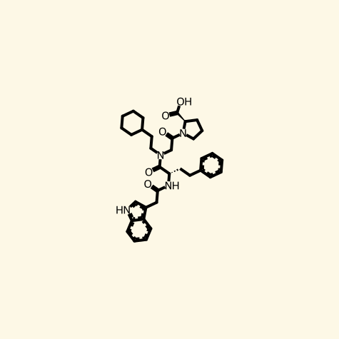 O=C(Cc1c[nH]c2ccccc12)N[C@@H](CCc1ccccc1)C(=O)N(CCC1CCCCC1)CC(=O)N1CCC[C@@H]1C(=O)O